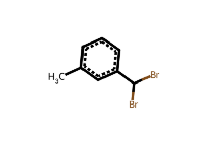 Cc1cccc(C(Br)Br)c1